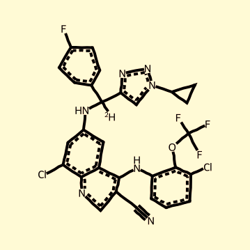 [2H]C(Nc1cc(Cl)c2ncc(C#N)c(Nc3cccc(Cl)c3OC(F)(F)F)c2c1)(c1ccc(F)cc1)c1cn(C2CC2)nn1